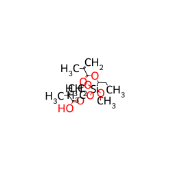 C=C(C)C(=O)O.C=C(C)C(=O)OC(CC)[Si](OC)(OC)OC